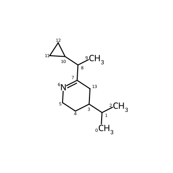 CC(C)C1CCN=C(C(C)C2CC2)C1